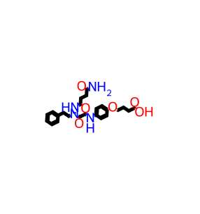 NC(=O)CCC(=O)NN(CCc1ccccc1)C(=O)CNc1ccc(OCCCC(=O)O)cc1